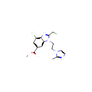 COC(=O)c1cc(F)c2nc(CCl)n(CCn3ccnc3C)c2c1